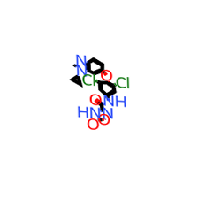 O=C(Nc1cc(Cl)c(Oc2ccc3ncn(C4CC4)c3c2)c(Cl)c1)c1noc(=O)[nH]1